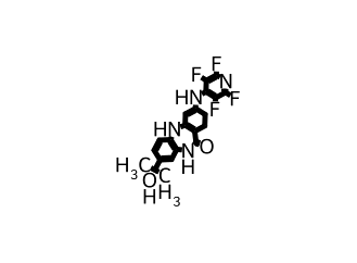 CC(C)(O)c1ccc2c(c1)NC(=O)C1=C(C=C(Nc3c(F)c(F)nc(F)c3F)CC1)N2